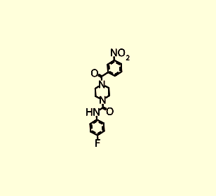 O=C(Nc1ccc(F)cc1)N1CCN(C(=O)c2cccc([N+](=O)[O-])c2)CC1